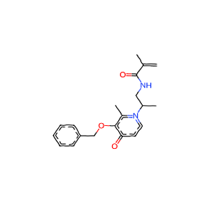 C=C(C)C(=O)NCC(C)n1ccc(=O)c(OCc2ccccc2)c1C